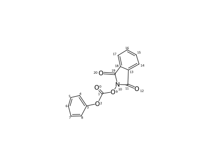 O=C(Oc1ccccc1)ON1C(=O)c2ccccc2C1=O